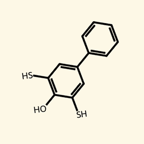 Oc1c(S)cc(-c2ccccc2)cc1S